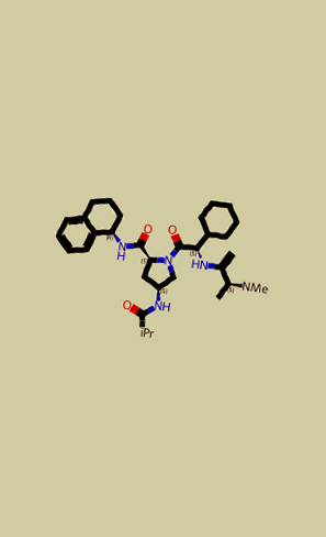 C=C(N[C@H](C(=O)N1C[C@@H](NC(=O)C(C)C)C[C@H]1C(=O)N[C@@H]1CCCc2ccccc21)C1CCCCC1)[C@H](C)NC